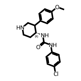 COc1ccc(C2CNCC[C@H]2NC(=O)Nc2ccc(Cl)cc2)cc1